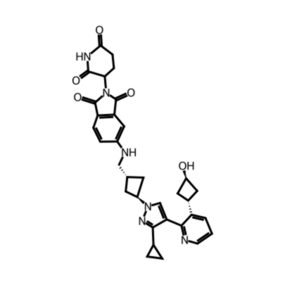 O=C1CCC(N2C(=O)c3ccc(NC[C@H]4C[C@H](n5cc(-c6ncccc6[C@H]6C[C@H](O)C6)c(C6CC6)n5)C4)cc3C2=O)C(=O)N1